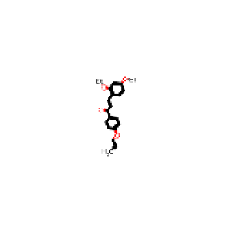 C=CCOc1ccc(C(=O)C=Cc2ccc(OCC)cc2OCC)cc1